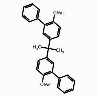 COc1ccc(C(C)(C)c2ccc(OC)c(-c3ccccc3)c2)cc1-c1ccccc1